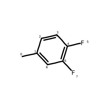 Cc1c[c]c(F)c(F)c1